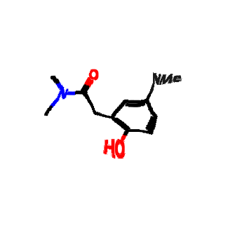 CNc1ccc(O)c(CC(=O)N(C)C)c1